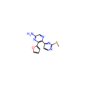 CSc1nccc(-c2ncc(N)nc2-c2ccco2)n1